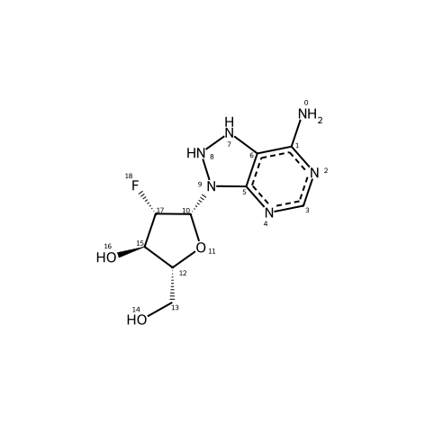 Nc1ncnc2c1NNN2[C@@H]1O[C@H](CO)[C@@H](O)[C@@H]1F